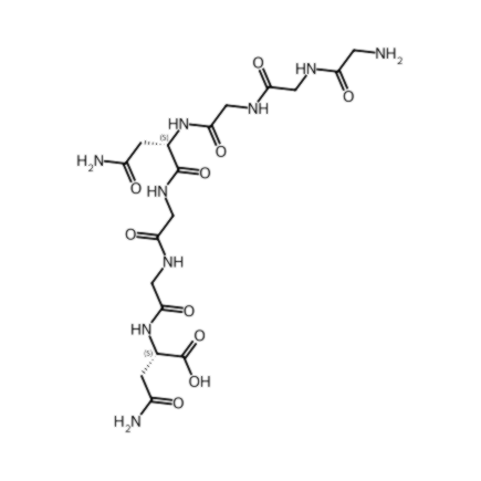 NCC(=O)NCC(=O)NCC(=O)N[C@@H](CC(N)=O)C(=O)NCC(=O)NCC(=O)N[C@@H](CC(N)=O)C(=O)O